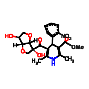 COC(=O)C1=C(C)NC(C)=C(C(=O)[C@@]2(O)CO[C@@H]3[C@@H](O)CO[C@@H]32)C1c1ccccc1[N+](=O)[O-]